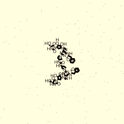 O=C(N[C@@H]1CCN(c2nc(N[C@H](CO)Cc3ccccc3)c3ncn([C@@H]4C[C@H](N5C(=O)N[C@@H](CO)C5=O)[C@@H](O)[C@H]4O)c3n2)C1)N[C@@H]1CCN(c2nc(N[C@H](CO)Cc3ccccc3)c3ncn([C@@H]4C[C@H](N5C(=O)N[C@@H](CO)C5=O)[C@@H](O)[C@H]4O)c3n2)C1